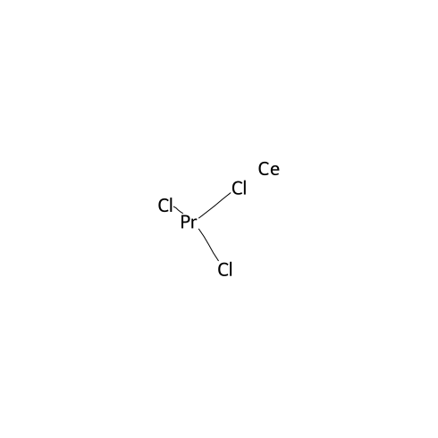 [Ce].[Cl][Pr]([Cl])[Cl]